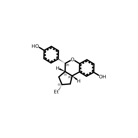 CC[C@@H]1C[C@H]2[C@@H](C1)c1cc(O)ccc1O[C@H]2c1ccc(O)cc1